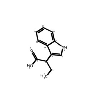 CCC(C(=O)O)c1c[nH]c2ccccc12